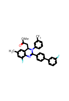 COC(=O)CC1c2cc(C)cc(F)c2N=C(c2ccc(-c3cccc(F)c3)cc2)N1c1cccc(C(F)(F)F)c1